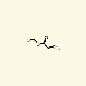 C=CC(=O)OC[O]